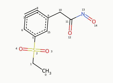 CCS(=O)(=O)c1cc#cc(CC(=O)N=O)c1